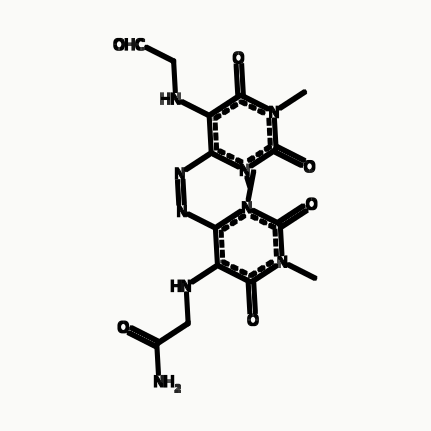 Cn1c(/N=N\c2c(NCC(N)=O)c(=O)n(C)c(=O)n2C)c(NCC=O)c(=O)n(C)c1=O